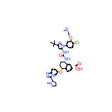 CN(C)CCOc1cc(-n2nc(C(C)(C)C)cc2NC(=O)N[C@H]2CC[C@@H](Oc3ccc4nnc(C5CCCN5C)n4c3)c3ccccc32)ccc1Cl.O=CO